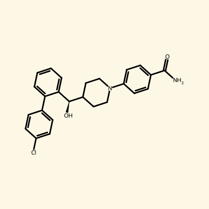 NC(=O)c1ccc(N2CCC([C@@H](O)c3ccccc3-c3ccc(Cl)cc3)CC2)cc1